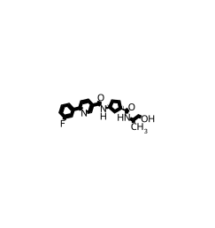 CC(CO)NC(=O)[C@@H]1CC[C@H](NC(=O)c2ccc(-c3cccc(F)c3)nc2)C1